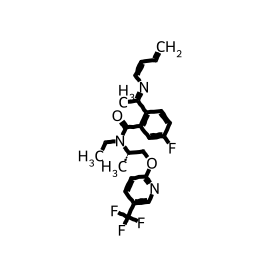 C=C/C=C\N=C(/C)c1ccc(F)cc1C(=O)N(CC)[C@@H](C)COc1ccc(C(F)(F)F)cn1